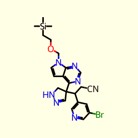 C[Si](C)(C)CCOCn1ccc2c(C3(C(CC#N)c4cncc(Br)c4)C=NNC3)ncnc21